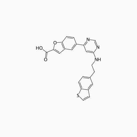 O=C(O)c1cc2cc(-c3cc(NCCc4ccc5sccc5c4)ncn3)ccc2o1